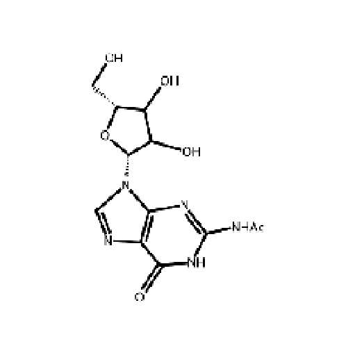 CC(=O)Nc1nc2c(ncn2[C@@H]2O[C@H](CO)C(O)C2O)c(=O)[nH]1